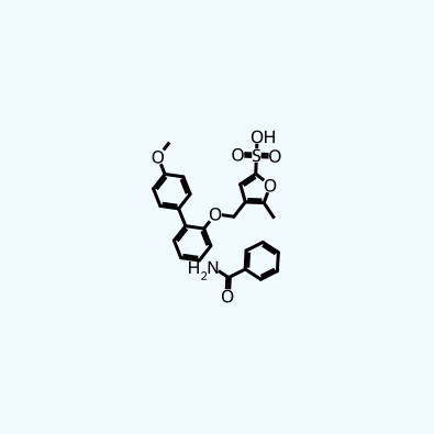 COc1ccc(-c2ccccc2OCc2cc(S(=O)(=O)O)oc2C)cc1.NC(=O)c1ccccc1